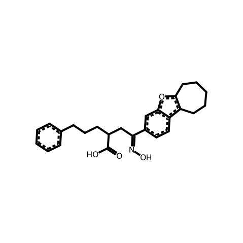 O=C(O)C(CCCc1ccccc1)CC(=NO)c1ccc2c3c(oc2c1)CCCCC3